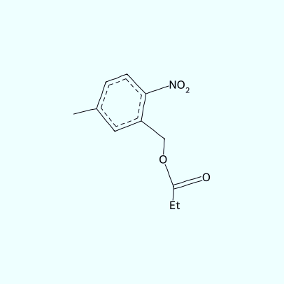 CCC(=O)OCc1cc(C)ccc1[N+](=O)[O-]